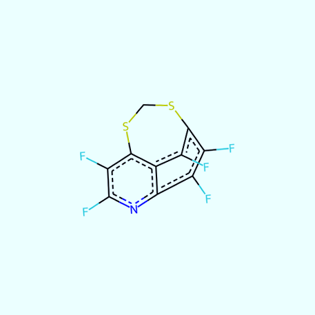 Fc1nc2c(F)c(F)c3c(F)c2c(c1F)SCS3